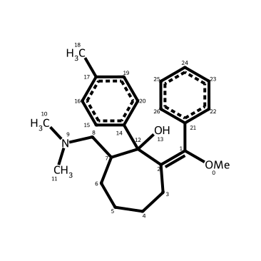 COC(=C1CCCCC(CN(C)C)C1(O)c1ccc(C)cc1)c1ccccc1